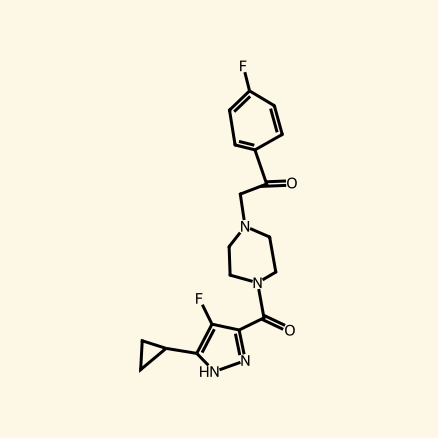 O=C(CN1CCN(C(=O)c2n[nH]c(C3CC3)c2F)CC1)c1ccc(F)cc1